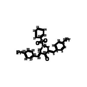 CC(C)c1ccc(C=C2CN(S(=O)(=O)c3ccccc3)CC(=Cc3ccc(C(C)C)cc3)C2=O)cc1